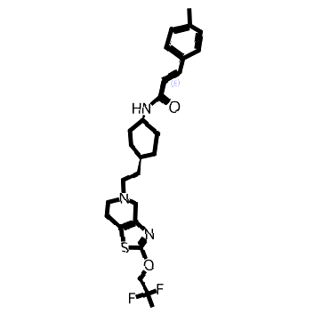 Cc1ccc(/C=C/C(=O)N[C@H]2CC[C@H](CCN3CCc4sc(OCC(C)(F)F)nc4C3)CC2)cc1